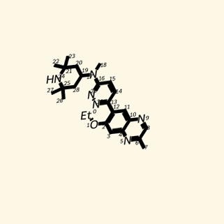 CCOc1cc2nc(C)cnc2cc1-c1ccc(N(C)C2CC(C)(C)NC(C)(C)C2)nn1